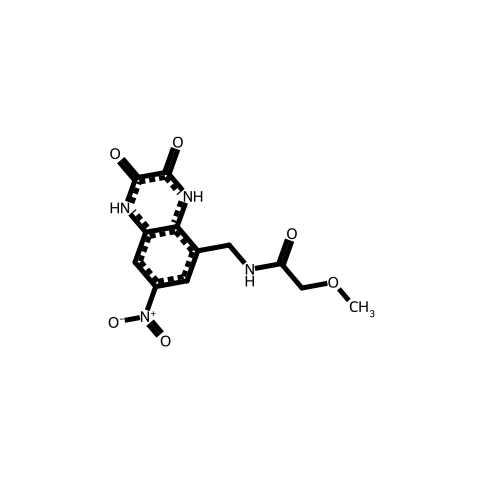 COCC(=O)NCc1cc([N+](=O)[O-])cc2[nH]c(=O)c(=O)[nH]c12